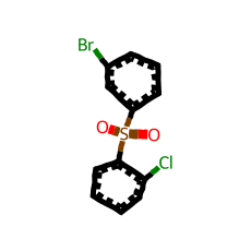 O=S(=O)(c1cccc(Br)c1)c1ccccc1Cl